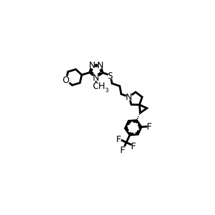 Cn1c(SCCCN2CCC3(C[C@@H]3c3ccc(C(F)(F)F)cc3F)C2)nnc1C1CCOCC1